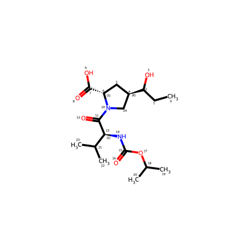 CCC(O)[C@@H]1C[C@@H](C(=O)O)N(C(=O)[C@@H](NC(=O)OC(C)C)C(C)C)C1